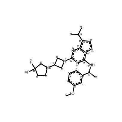 COc1cccc([C@H](C)Nc2nc(N3CC(N4CCC(F)(F)C4)C3)nc3c(C(C)C)cnn23)c1